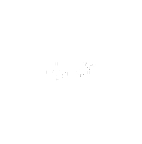 CC(C)(C)OC(=O)N1CCC(n2cc(-c3noc(=O)[nH]3)nn2)CC1